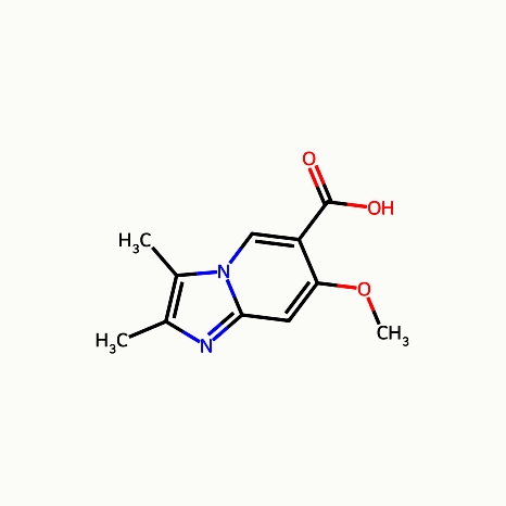 COc1cc2nc(C)c(C)n2cc1C(=O)O